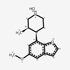 COc1cc([C@@H]2CCNC[C@@H]2C)c2occc2c1.Cl